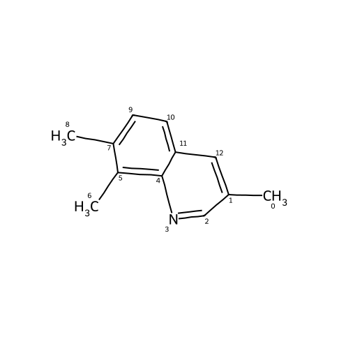 Cc1cnc2c(C)c(C)ccc2c1